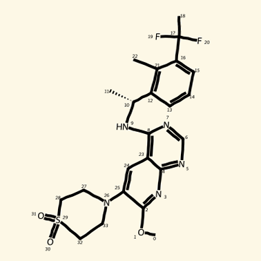 COc1nc2ncnc(N[C@H](C)c3cccc(C(C)(F)F)c3C)c2cc1N1CCS(=O)(=O)CC1